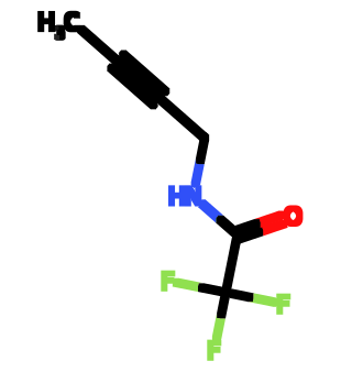 CC#CCNC(=O)C(F)(F)F